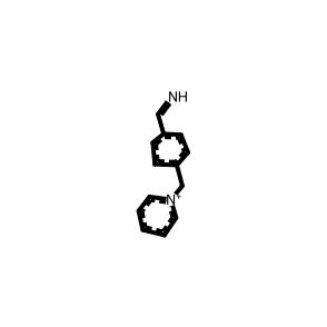 N=Cc1ccc(C[n+]2ccccc2)cc1